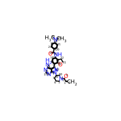 C=CC(=O)N1CCCC(n2nc(-c3ccc(NC(=O)c4ccc(N(C)C)cc4)c4c3OCC4)c3c(N)ncnc32)C1